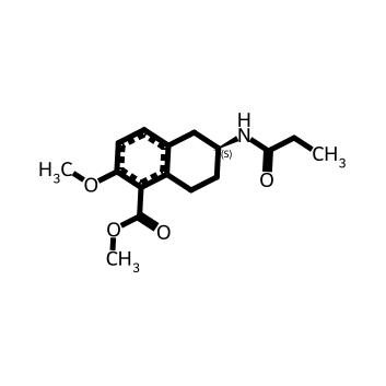 CCC(=O)N[C@H]1CCc2c(ccc(OC)c2C(=O)OC)C1